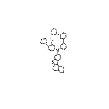 CC1(C)c2ccccc2-c2ccc(N(c3cccc(-c4cccc(-c5ccccc5)c4)c3)c3ccc4c(c3)sc3ccc5ccccc5c34)cc21